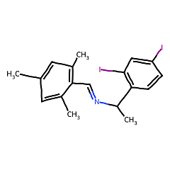 Cc1cc(C)c(C=NC(C)c2ccc(I)cc2I)c(C)c1